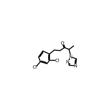 CC(C(=O)CCc1ccc(Cl)cc1Cl)n1cncn1